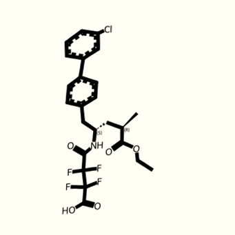 CCOC(=O)[C@H](C)C[C@@H](Cc1ccc(-c2cccc(Cl)c2)cc1)NC(=O)C(F)(F)C(F)(F)C(=O)O